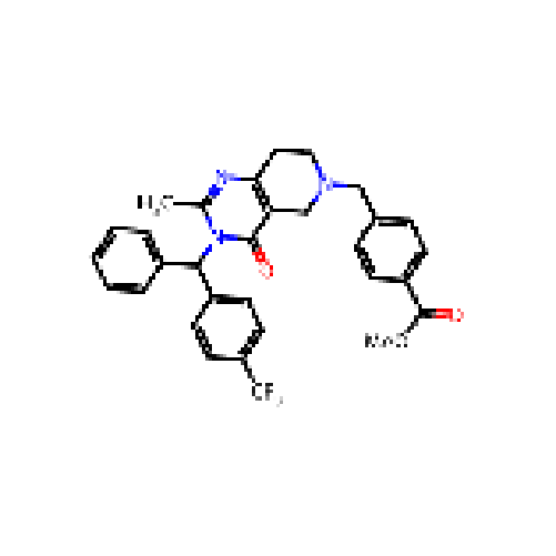 COC(=O)c1ccc(CN2CCc3nc(C)n(C(c4ccccc4)c4ccc(C(F)(F)F)cc4)c(=O)c3C2)cc1